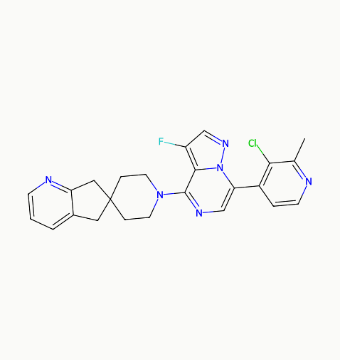 Cc1nccc(-c2cnc(N3CCC4(CC3)Cc3cccnc3C4)c3c(F)cnn23)c1Cl